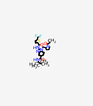 C=CC(=O)N1CCCC1Cn1c(NC(=O)c2ccc(C(F)F)s2)nc2cc(C(=O)NC(C)C(C)(C)C)ccc21